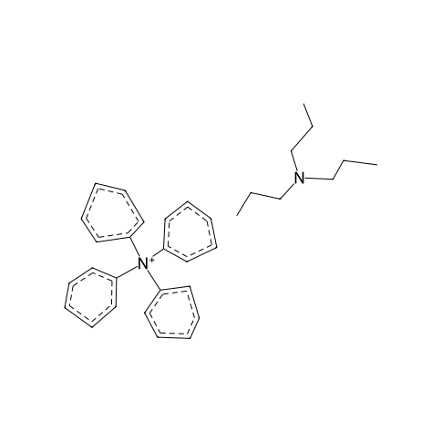 CCCN(CCC)CCC.c1ccc([N+](c2ccccc2)(c2ccccc2)c2ccccc2)cc1